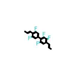 C/C=C/c1cc(F)c(-c2cc(F)c(/C=C/C)c(F)c2)c(F)c1F